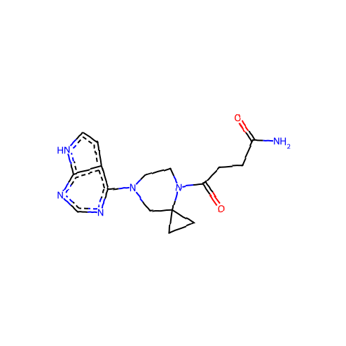 NC(=O)CCC(=O)N1CCN(c2ncnc3[nH]ccc23)CC12CC2